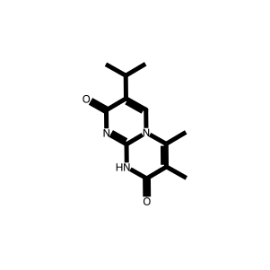 Cc1c(C)n2cc(C(C)C)c(=O)nc2[nH]c1=O